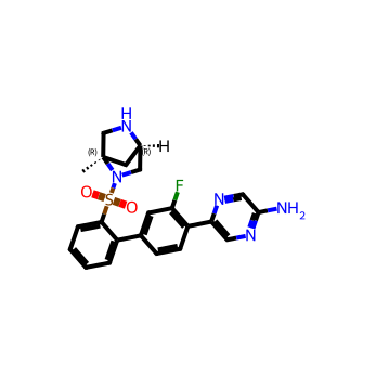 C[C@@]12CN[C@@H](CN1S(=O)(=O)c1ccccc1-c1ccc(-c3cnc(N)cn3)c(F)c1)C2